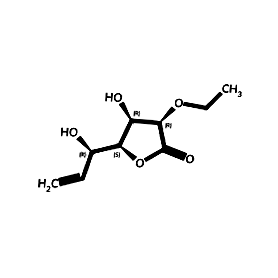 C=C[C@@H](O)[C@@H]1OC(=O)[C@H](OCC)[C@@H]1O